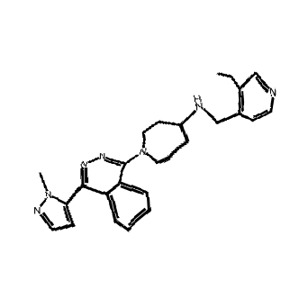 Cc1cnccc1CNC1CCN(c2nnc(-c3ccnn3C)c3ccccc23)CC1